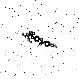 CCC(C)(C)C(=O)OC1CCC(OC(=O)N2CCC(C)CC2)CC1